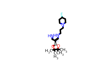 CC1(C)OB(/C(C=N)=C/NCCCN2CCC(F)CC2)OC1(C)C